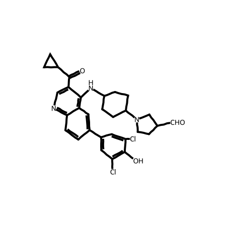 O=CC1CCN(C2CCC(Nc3c(C(=O)C4CC4)cnc4ccc(-c5cc(Cl)c(O)c(Cl)c5)cc34)CC2)C1